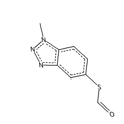 Cn1nnc2[c]c(SC=O)ccc21